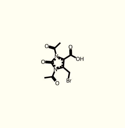 CC(=O)n1c(CBr)c(C(=O)O)n(C(C)=O)c1=O